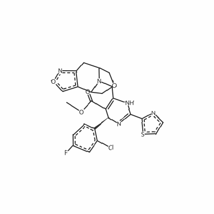 COC(=O)C1=C(CN2C3COCC2c2conc2C3)NC(c2nccs2)=N[C@H]1c1ccc(F)cc1Cl